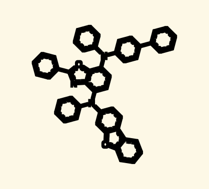 c1ccc(-c2ccc(N(c3ccccc3)c3ccc(N(c4ccccc4)c4ccc5c(c4)oc4ccccc45)c4nc(-c5ccccc5)oc34)cc2)cc1